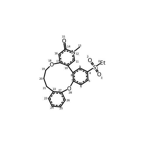 CCS(=O)(=O)c1ccc2c(c1)-c1cn(C)c(=O)cc1OCCCc1ccccc1O2